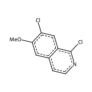 COc1cc2ccnc(Cl)c2cc1Cl